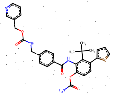 CC(C)(C)c1c(-c2cccs2)ccc(OC(N)=O)c1NC(=O)c1ccc(CNC(=O)OCc2cccnc2)cc1